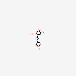 CCc1cc(-c2cc(-c3ccc(OC)cc3)ns2)c(O)cc1OC